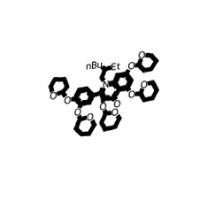 CCCCC(CC)Cn1c(-c2ccc(OC3CCCCO3)c(OC3CCCCO3)c2)c(OC2CCCCO2)c(=O)c2c(OC3CCCCO3)cc(OC3CCCCO3)cc21